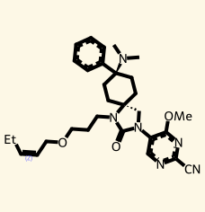 CC/C=C\COCCCN1C(=O)N(c2cnc(C#N)nc2OC)C[C@]12CC[C@](c1ccccc1)(N(C)C)CC2